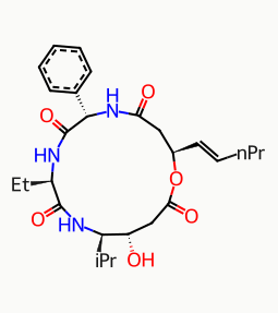 CCC/C=C/[C@@H]1CC(=O)N[C@@H](c2ccccc2)C(=O)N[C@H](CC)C(=O)N[C@H](C(C)C)[C@@H](O)CC(=O)O1